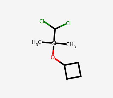 C[Si](C)(OC1CCC1)C(Cl)Cl